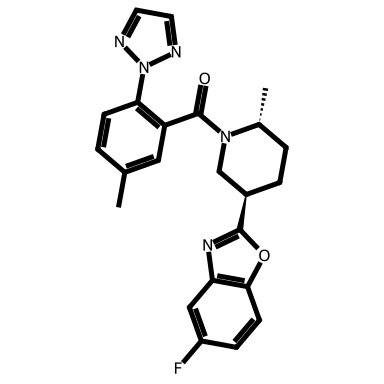 Cc1ccc(-n2nccn2)c(C(=O)N2C[C@H](c3nc4cc(F)ccc4o3)CC[C@H]2C)c1